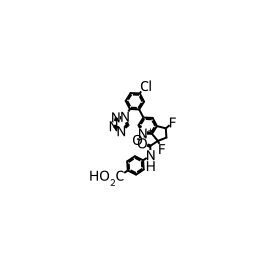 O=C(O)c1ccc(NC(=O)C2(F)CC(F)c3cc(-c4cc(Cl)ccc4-n4cnnn4)c[n+]([O-])c32)cc1